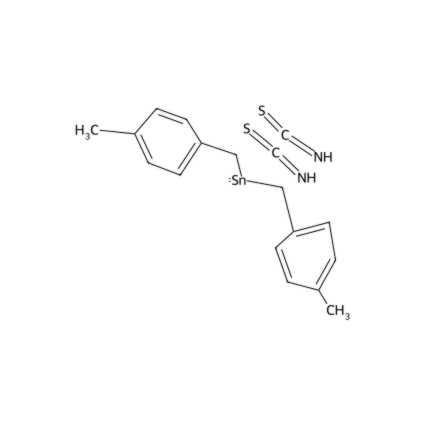 Cc1ccc([CH2][Sn][CH2]c2ccc(C)cc2)cc1.N=C=S.N=C=S